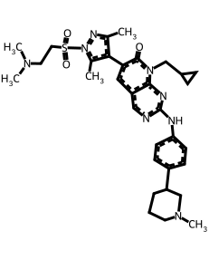 Cc1nn(S(=O)(=O)CCN(C)C)c(C)c1-c1cc2cnc(Nc3ccc(C4CCCN(C)C4)cc3)nc2n(CC2CC2)c1=O